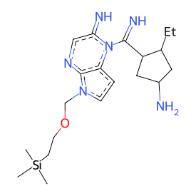 CCC1CC(N)CC1C(=N)n1c(=N)cnc2c1ccn2COCC[Si](C)(C)C